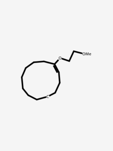 COCCOC1=CCCCCCCCCCC1